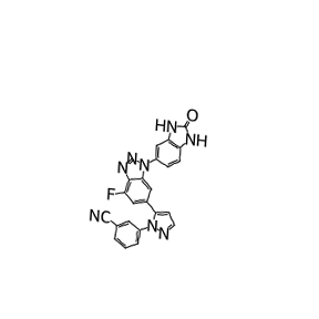 N#Cc1cccc(-n2nccc2-c2cc(F)c3nnn(-c4ccc5[nH]c(=O)[nH]c5c4)c3c2)c1